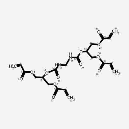 C=CC(=O)OCC(COC(=O)C=C)OC(=O)NCNC(=O)OC(COC(=O)C=C)COC(=O)C=C